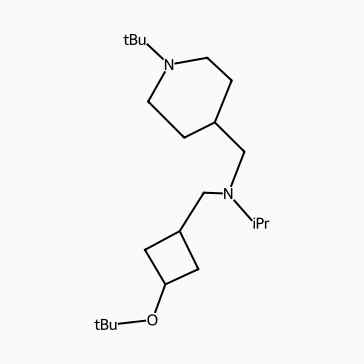 CC(C)N(CC1CCN(C(C)(C)C)CC1)CC1CC(OC(C)(C)C)C1